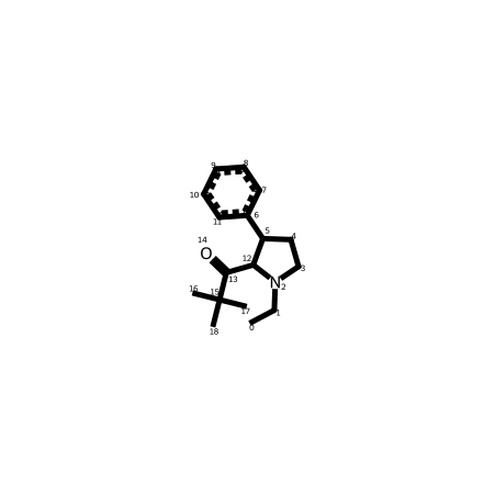 CCN1CCC(c2ccccc2)C1C(=O)C(C)(C)C